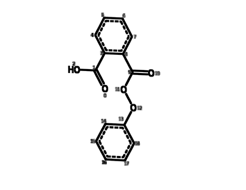 O=C(O)c1ccccc1C(=O)OOc1ccccc1